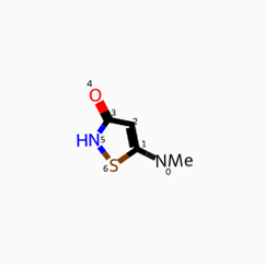 CNc1cc(=O)[nH]s1